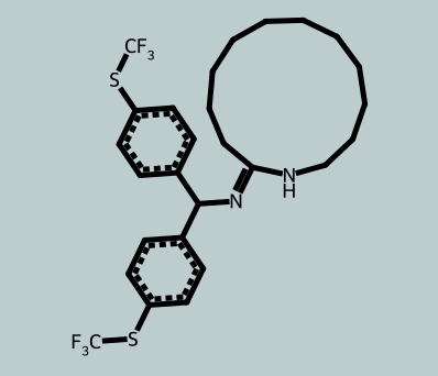 FC(F)(F)Sc1ccc(C(/N=C2\CCCCCCCCCCCN2)c2ccc(SC(F)(F)F)cc2)cc1